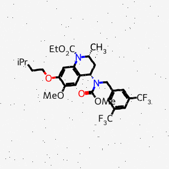 CCOC(=O)N1c2cc(OCCC(C)C)c(OC)cc2[C@@H](N(Cc2cc(C(F)(F)F)cc(C(F)(F)F)c2)C(=O)OC)C[C@H]1C